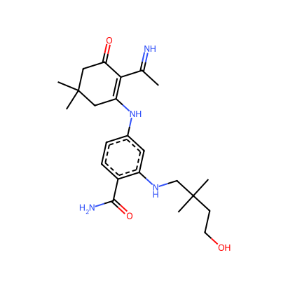 CC(=N)C1=C(Nc2ccc(C(N)=O)c(NCC(C)(C)CCO)c2)CC(C)(C)CC1=O